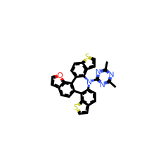 Cc1nc(C)nc(N2c3ccc4ccsc4c3-c3ccc4ccoc4c3-c3ccc4sccc4c32)n1